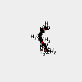 Cc1nc(-c2cc(C(=O)NCc3nc(C(C)(C)C(F)(F)F)n[nH]3)on2)ncc1-c1ccc(C(C)N2CCN(c3cnc4c(N5CCC(=O)NC5=O)cnn4c3)CC2)cc1F